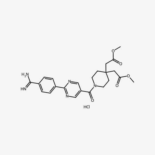 COC(=O)CC1(CC(=O)OC)CCN(C(=O)c2cnc(-c3ccc(C(=N)N)cc3)nc2)CC1.Cl